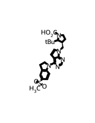 CC(C)(C)C1[C@H](Cn2ccc3c(N4CCc5cc(S(C)(=O)=O)ccc54)ncnc32)CCN1C(=O)O